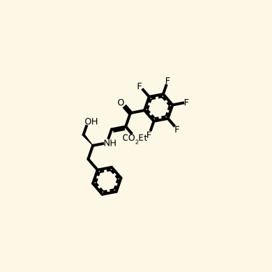 CCOC(=O)/C(=C\N[C@H](CO)Cc1ccccc1)C(=O)c1c(F)c(F)c(F)c(F)c1F